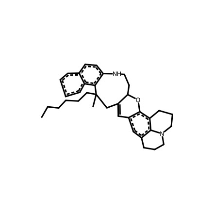 CCCCCCC1(C)CC2=Cc3cc4c5c(c3OC2CCNc2ccc3ccccc3c21)CCCN5CCC4